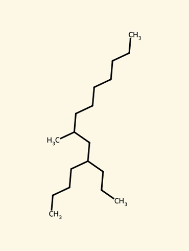 CCCCCCCC(C)CC(CCC)CCCC